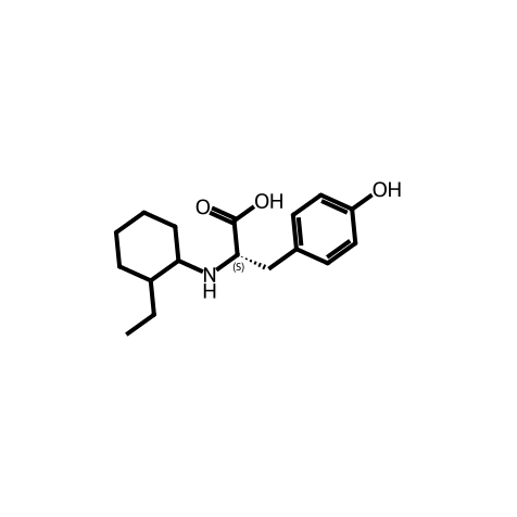 CCC1CCCCC1N[C@@H](Cc1ccc(O)cc1)C(=O)O